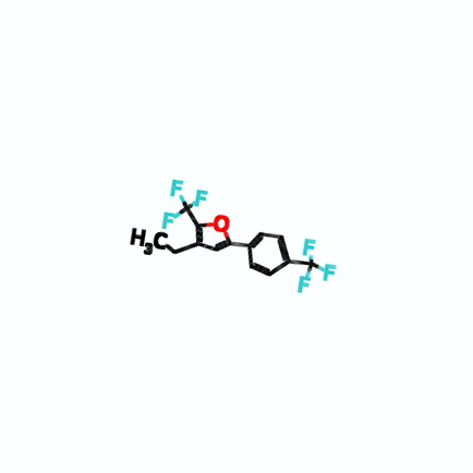 CCc1cc(-c2ccc(C(F)(F)F)cc2)oc1C(F)(F)F